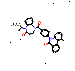 CCOC(=O)C(C)N1C(=O)CCN(C(=O)c2ccc(NC(=O)c3ccccc3-c3ccccc3C)cc2)c2ccccc21